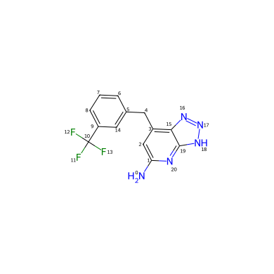 Nc1cc(Cc2cccc(C(F)(F)F)c2)c2nn[nH]c2n1